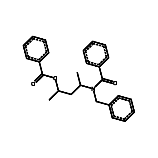 CC(CC(C)N(Cc1ccccc1)C(=O)c1ccccc1)OC(=O)c1ccccc1